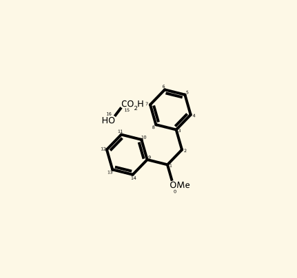 COC(Cc1ccccc1)c1ccccc1.O=C(O)O